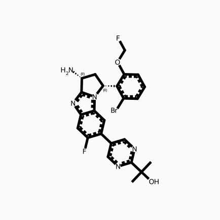 CC(C)(O)c1ncc(-c2cc3c(cc2F)nc2n3[C@@H](c3c(Br)cccc3OCF)C[C@H]2N)cn1